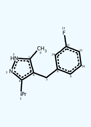 Cc1[nH]nc(C(C)C)c1Cc1cccc(F)c1